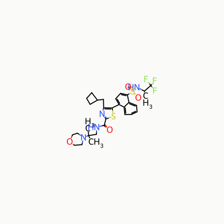 C[C@H](NS(=O)(=O)c1ccc(-c2sc(C(=O)NCC(C)(C)N3CCOCC3)nc2CC2CCC2)c2ccccc12)C(F)(F)F